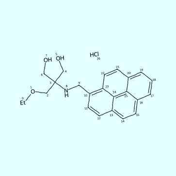 CCOCC(CO)(CO)NCc1ccc2ccc3cccc4ccc1c2c34.Cl